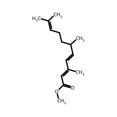 COC(=O)/C=C(C)/C=C/C(C)CCC=C(C)C